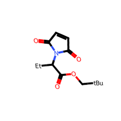 CCC(C(=O)OCC(C)(C)C)N1C(=O)C=CC1=O